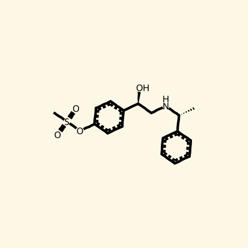 C[C@@H](NC[C@H](O)c1ccc(OS(C)(=O)=O)cc1)c1ccccc1